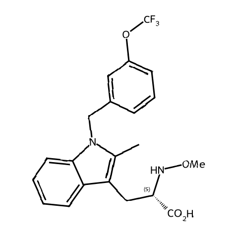 CON[C@@H](Cc1c(C)n(Cc2cccc(OC(F)(F)F)c2)c2ccccc12)C(=O)O